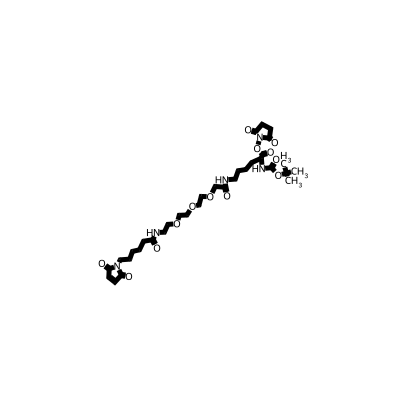 CC(C)(C)OC(=O)NC(CCCCNC(=O)COCCOCCOCCNC(=O)CCCCCN1C(=O)C=CC1=O)C(=O)ON1C(=O)CCC1=O